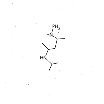 CC(C)NC(C)CC(C)NP